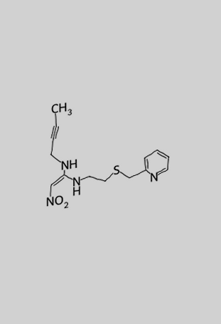 CC#CCN/C(=C/[N+](=O)[O-])NCCSCc1ccccn1